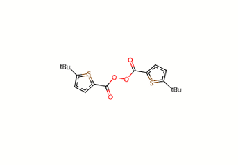 CC(C)(C)c1ccc(C(=O)OOC(=O)c2ccc(C(C)(C)C)s2)s1